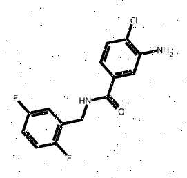 Nc1cc(C(=O)NCc2cc(F)ccc2F)ccc1Cl